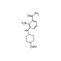 COC1CCC(Nc2cccc(C(N)=O)c2N)CC1